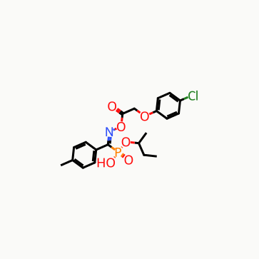 CCC(C)OP(=O)(O)C(=NOC(=O)COc1ccc(Cl)cc1)c1ccc(C)cc1